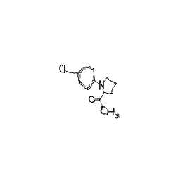 CC(=O)C1CCCN1c1ccc(Cl)cc1